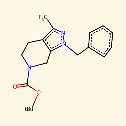 CC(C)(C)OC(=O)N1CCc2c(C(F)(F)F)nn(Cc3ccccc3)c2C1